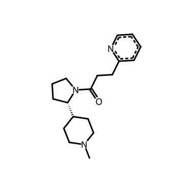 CN1CCC([C@@H]2CCCN2C(=O)CCc2ccccn2)CC1